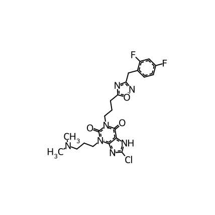 CN(C)CCCn1c(=O)n(CCCc2nc(Cc3ccc(F)cc3F)no2)c(=O)c2[nH]c(Cl)nc21